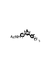 CC(=O)N[C@H]1CCN(c2cc(-c3ccc(OC(F)(F)F)c(C)c3)nc(C)n2)C[C@@H]1C